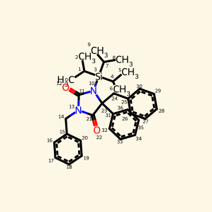 CC(C)[Si](C(C)C)(C(C)C)N1C(=O)N(Cc2ccccc2)C(=O)C1(Cc1ccccc1)c1ccccc1